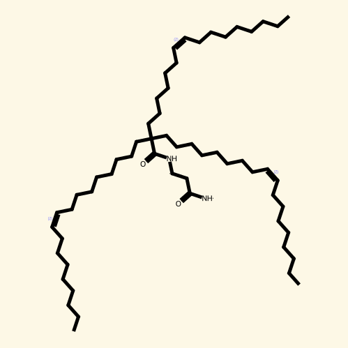 CCCCCCCC/C=C\CCCCCCCCC(CCCCCC/C=C\CCCCCCCC)(CCCCCCCC/C=C\CCCCCCCC)C(=O)N[CH]CC([NH])=O